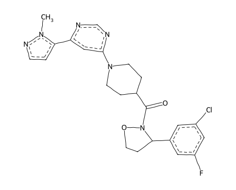 Cn1nccc1-c1cc(N2CCC(C(=O)N3OCCC3c3cc(F)cc(Cl)c3)CC2)ncn1